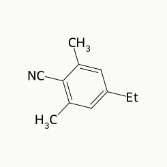 CCc1cc(C)c(C#N)c(C)c1